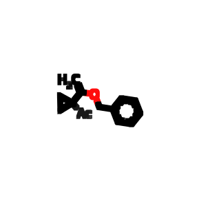 C=C(OCc1ccccc1)C1(C(C)=O)CC1